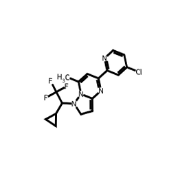 CC1=CC(c2cc(Cl)ccn2)=NC2=CCN(C(C3CC3)C(F)(F)F)N12